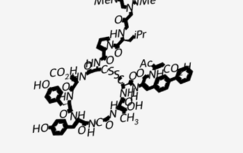 CNCCN(CC(=O)CN[C@@H](CC(C)C)C(=O)N1CCC=C1C(=O)N[C@H]1CSSC[C@@H](C(=O)N/C(=C/c2ccc(-c3ccccc3)cc2)C(=O)N/C(=C\C(=O)O)C(C)=O)NC(=O)/C(=C(/C)O)NC(=O)CNC(=O)/C(=C/c2ccc(O)cc2)NC(=O)[C@H](Cc2ccc(O)cc2)NC(=O)/C(=C/C(=O)O)NC1=O)NC